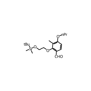 CCCOc1ccc(C=O)c(OCCO[Si](C)(C)C(C)(C)C)c1C